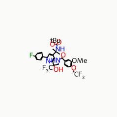 COc1cc(C(=O)NCC(O)(c2cc(C(C)(C)NC(=O)OC(C)(C)C)cc(-c3ccc(F)cc3)n2)C(F)(F)F)ccc1OCC(F)(F)F